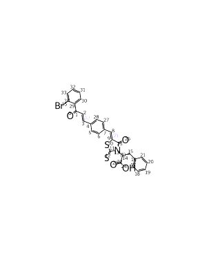 O=C(/C=C/c1ccc(/C=C2\SC(=S)N([C@@H](Cc3ccccc3)C(=O)O)C2=O)cc1)c1ccccc1Br